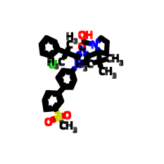 CC(C)(c1ccccc1Cl)c1nc(C2(C(C)(C)C)CCCN2C(=O)O)cn1-c1ccc(-c2cccc(S(C)(=O)=O)c2)cc1